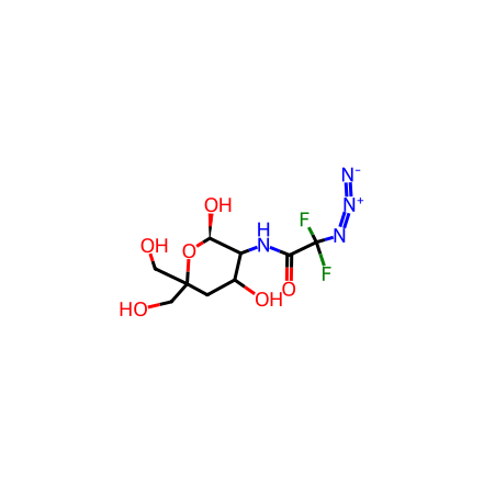 [N-]=[N+]=NC(F)(F)C(=O)NC1C(O)CC(CO)(CO)O[C@H]1O